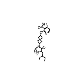 CCC(CC)CC(NC)C(=O)N(C=O)[C@H]1CC2(C[C@H](Oc3ncccc3C(N)=O)C2)C1